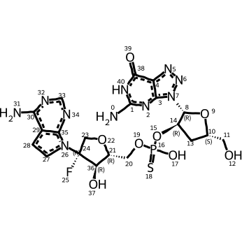 Nc1nc2c(nnn2[C@@H]2O[C@H](CO)C[C@H]2OP(O)(=S)OC[C@H]2OC[C@](F)(n3ccc4c(N)ncnc43)[C@@H]2O)c(=O)[nH]1